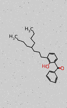 CCCCC(CCCC)CCCc1cccc(C(=O)c2ccccc2)c1O